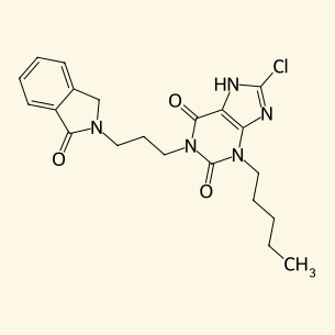 CCCCCn1c(=O)n(CCCN2Cc3ccccc3C2=O)c(=O)c2[nH]c(Cl)nc21